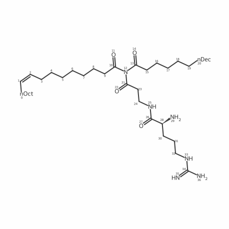 CCCCCCCC/C=C\CCCCCCCC(=O)N(C(=O)CCCCCCCCCCCCCCC)C(=O)CCNC(=O)[C@@H](N)CCCNC(=N)N